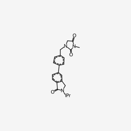 CC(C)N1Cc2cc(-c3ccc(CN4CC(=O)N(C)C4=O)cc3)ccc2C1=O